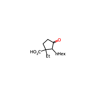 CCCCCCC1C(=O)CCC1(CC)C(=O)O